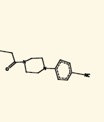 [C-]#[N+]c1ccc(N2CCN(C(=O)CCl)CC2)cc1